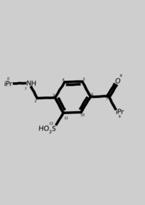 CC(C)NCc1ccc(C(=O)C(C)C)cc1S(=O)(=O)O